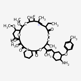 CCC1/C=C(\C)C(F)C(C)CC(OC)C2OC(O)(C(=O)C(=O)N3CCCCC3C(=O)OC(C(C)=CC3CCC(N)C(Oc4ccc(C)cc4)C3)C(C)CCC1=O)C(C)CC2OC